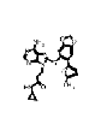 Cc1ccc(-c2cc3c(cc2Sc2nc4c(N)ncnc4n2CCC(=O)NC2CC2)OCO3)o1